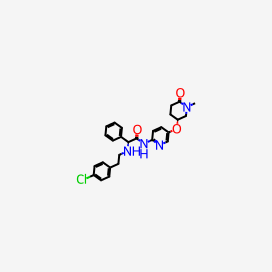 CN1C[C@@H](Oc2ccc(NC(=O)[C@@H](NCCc3ccc(Cl)cc3)c3ccccc3)nc2)CCC1=O